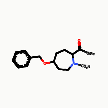 COC(=O)C1CCC(OCc2ccccc2)CCN1C(=O)O